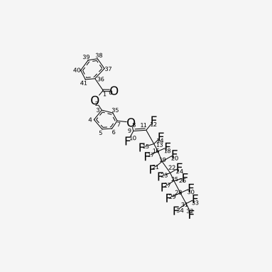 O=C(Oc1cccc(OC(F)=C(F)C(F)(F)C(F)(F)C(F)(F)C(F)(F)C(F)(F)C(F)(F)C(F)(F)F)c1)c1ccccc1